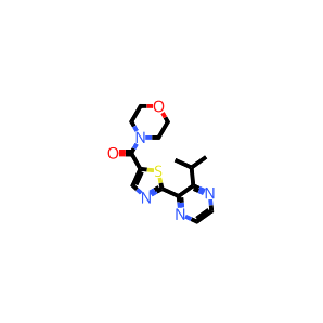 CC(C)c1nccnc1-c1ncc(C(=O)N2CCOCC2)s1